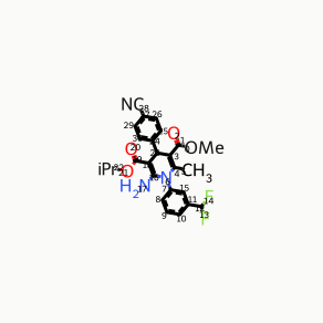 COC(=O)C1=C(C)N(c2cccc(C(F)F)c2)C(N)=C(C(=O)OC(C)C)C1c1ccc(C#N)cc1